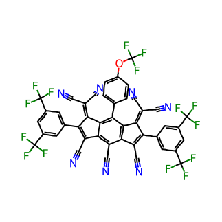 N#CC(C#N)=C1C(c2cc(C(F)(F)F)cc(C(F)(F)F)c2)=C(C#N)c2c(C#N)c3c(c(-c4ccc(OC(F)(F)F)cc4)c21)C(=C(C#N)C#N)C(c1cc(C(F)(F)F)cc(C(F)(F)F)c1)=C3C#N